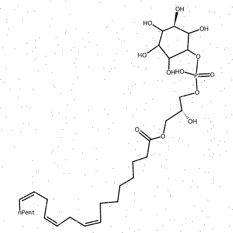 CCCCC/C=C\C/C=C\C/C=C\CCCCCCC(=O)OC[C@@H](O)COP(=O)(O)OC1C(O)C(O)C(O)[C@@H](O)C1O